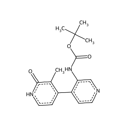 Cc1c(-c2ccncc2NC(=O)OC(C)(C)C)cc[nH]c1=O